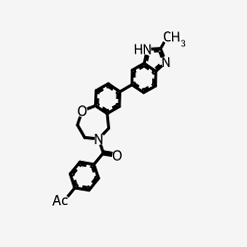 CC(=O)c1ccc(C(=O)N2CCOc3ccc(-c4ccc5nc(C)[nH]c5c4)cc3C2)cc1